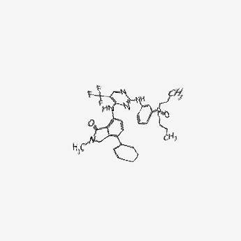 CCCP(=O)(CCC)c1cccc(Nc2ncc(C(F)(F)F)c(Nc3ccc(C4CCCCC4)c4c3C(=O)N(C)C4)n2)c1